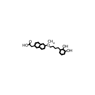 C.O=C(O)Cc1ccc2cc(OCCCCc3cccc(O)c3O)ccc2c1